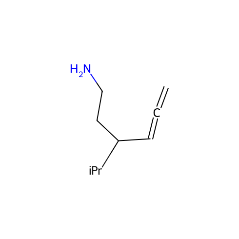 C=C=CC(CCN)C(C)C